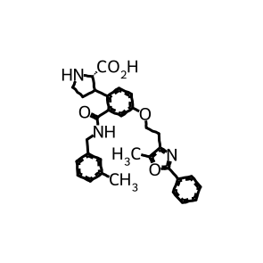 Cc1cccc(CNC(=O)c2cc(OCCc3nc(-c4ccccc4)oc3C)ccc2C2CCN[C@@H]2C(=O)O)c1